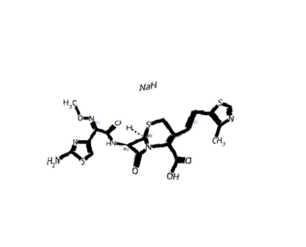 CO/N=C(/C(=O)N[C@@H]1C(=O)N2C(C(=O)O)=C(/C=C/c3scnc3C)CS[C@H]12)c1csc(N)n1.[NaH]